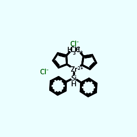 CC1=CC=C[CH]1[Zr+2]([CH]1C=CC=C1C)[SiH](c1ccccc1)c1ccccc1.[Cl-].[Cl-]